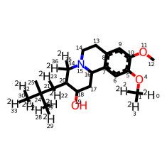 [2H]C([2H])([2H])Oc1cc2c(cc1OC)CCN1C2CC(O)C(C([2H])([2H])C(C)(C([2H])([2H])[2H])C([2H])([2H])[2H])C1([2H])[2H]